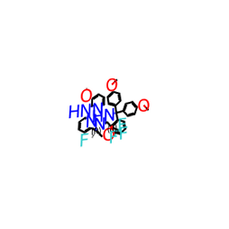 COc1ccc(C(NC2=N[C@](C)(c3nc(Nc4ncccc4OC)ccc3F)CO[C@@]2(C)C(F)(F)F)(c2ccccc2)c2ccc(OC)cc2)cc1